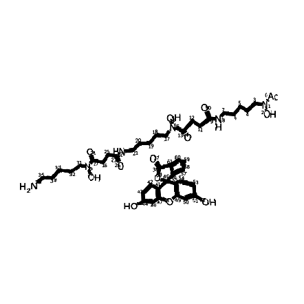 CC(=O)N(O)CCCCCNC(=O)CCC(=O)N(O)CCCCCNC(=O)CCC(=O)N(O)CCCCCN.O=C1OC2(c3ccc(O)cc3Oc3cc(O)ccc32)c2ccccc21